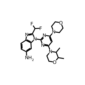 CC1OCCN(c2cc(N3CCOCC3)nc(-n3c(C(F)F)nc4ccc(N)cc43)n2)C1C